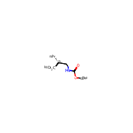 CCC[C@H](CNC(=O)OC(C)(C)C)C(=O)O